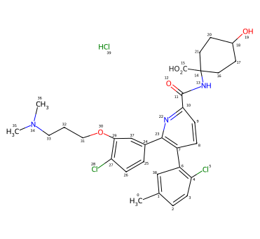 Cc1ccc(Cl)c(-c2ccc(C(=O)NC3(C(=O)O)CCC(O)CC3)nc2-c2ccc(Cl)c(OCCCN(C)C)c2)c1.Cl